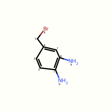 Nc1ccc(CBr)cc1N